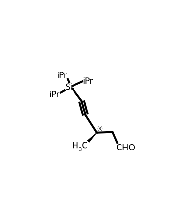 CC(C)[Si](C#C[C@H](C)CC=O)(C(C)C)C(C)C